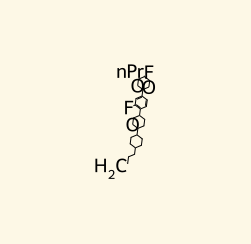 C=CCCC1CCC(C2CCC(c3ccc(C4OCC(F)(CCC)CO4)cc3F)CO2)CC1